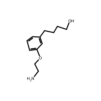 NCCOc1cccc(CCCCO)c1